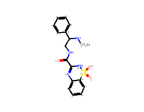 CCOC(=O)NC(CNC(=O)C1=Nc2ccccc2S(=O)(=O)N1)c1ccccc1